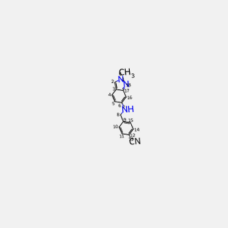 Cn1cc2ccc(NCc3ccc(C#N)cc3)cc2n1